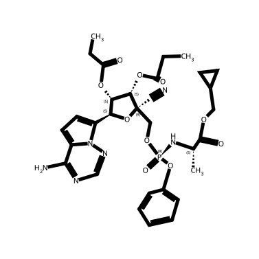 CCC(=O)O[C@H]1[C@H](c2ccc3c(N)ncnn23)O[C@](C#N)(CO[P@](=O)(N[C@@H](C)C(=O)OCC2CC2)Oc2ccccc2)[C@H]1OC(=O)CC